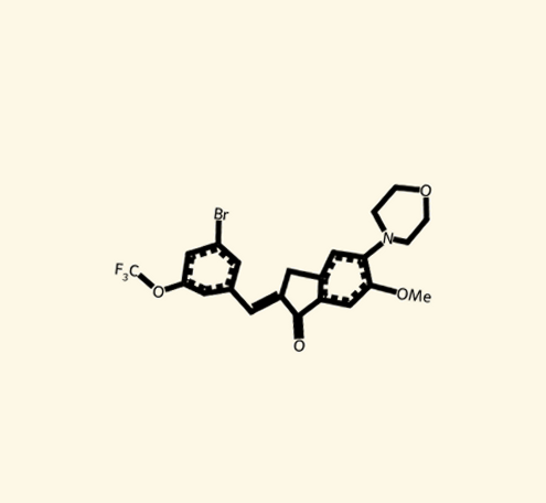 COc1cc2c(cc1N1CCOCC1)C/C(=C\c1cc(Br)cc(OC(F)(F)F)c1)C2=O